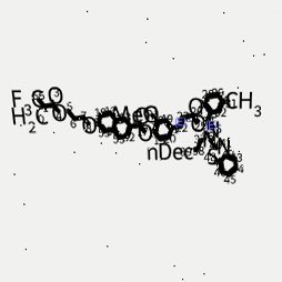 C=C(C(=O)OCCCOc1ccc2cc(C(=O)Oc3ccc(/C=C/C(=O)Oc4ccc(C)cc4/C=N/N(CCCCCCCCCCCC)c4nc5ccccc5s4)cc3OC)ccc2c1)C(F)(F)F